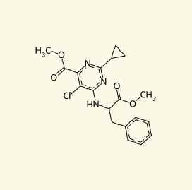 COC(=O)c1nc(C2CC2)nc(NC(Cc2ccccc2)C(=O)OC)c1Cl